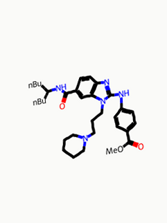 CCCCC(CCCC)NC(=O)c1ccc2nc(Nc3ccc(C(=O)OC)cc3)n(CCCN3CCCCC3)c2c1